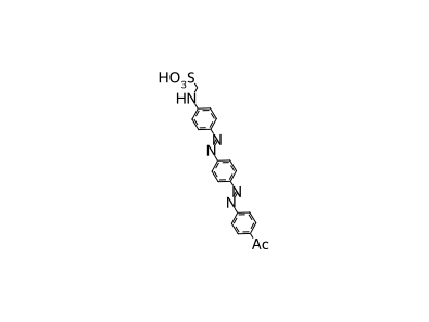 CC(=O)c1ccc(N=Nc2ccc(N=Nc3ccc(NCS(=O)(=O)O)cc3)cc2)cc1